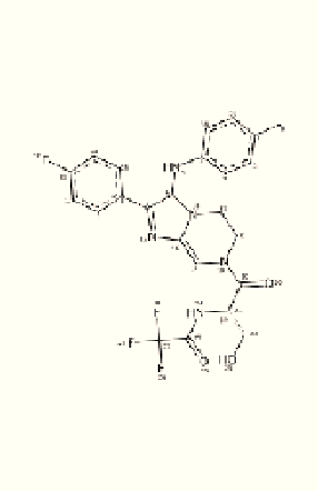 Cc1ccc(NC2C(c3ccc(F)cc3)=NC3=CN(C(=O)[C@H](CO)NC(=O)C(F)(F)F)CCN32)cc1